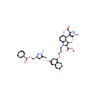 COC(=O)c1c(C)c2c(-c3c(C=O)nn(C)c3C)c(Cl)ccc2n1CCCOc1cc(SCc2cc(COC(=O)c3ccccc3)nn2C)cc2cc(F)ccc12